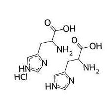 Cl.NC(Cc1c[nH]cn1)C(=O)O.NC(Cc1c[nH]cn1)C(=O)O